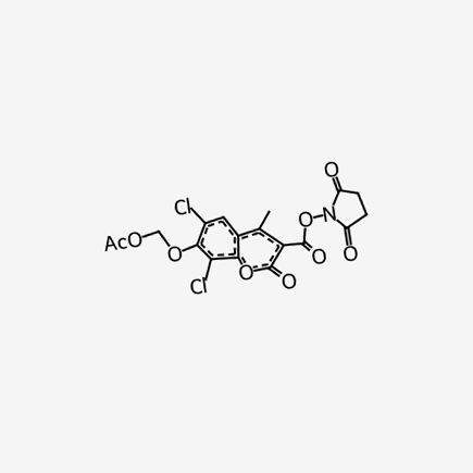 CC(=O)OCOc1c(Cl)cc2c(C)c(C(=O)ON3C(=O)CCC3=O)c(=O)oc2c1Cl